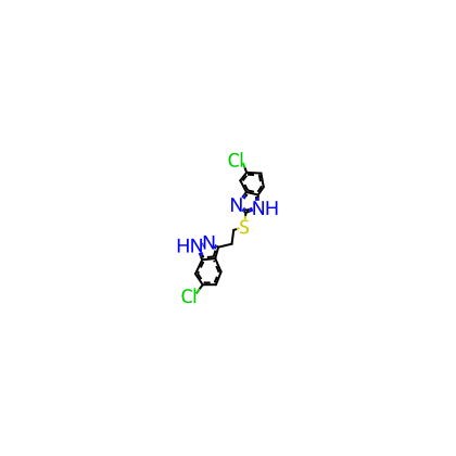 Clc1ccc2[nH]c(SCCc3n[nH]c4cc(Cl)ccc34)nc2c1